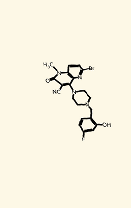 Cn1c(=O)c(C#N)c(N2CCN(Cc3ccc(F)cc3O)CC2)c2nc(Br)ccc21